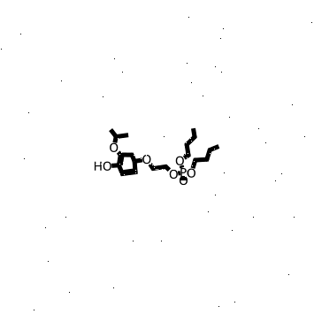 CCCCOP(=O)(OCCCC)OCCOC1C=CC(O)=C(OC(C)C)C1